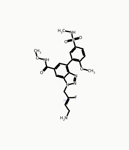 CNS(=O)(=O)c1ccc(OC)c(-c2cc(C(=O)NOC)cc3c2nnn3C/C(F)=C/CN)c1